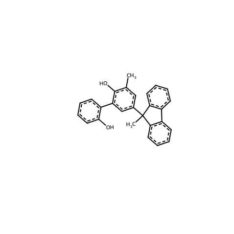 Cc1cc(C2(C)c3ccccc3-c3ccccc32)cc(-c2ccccc2O)c1O